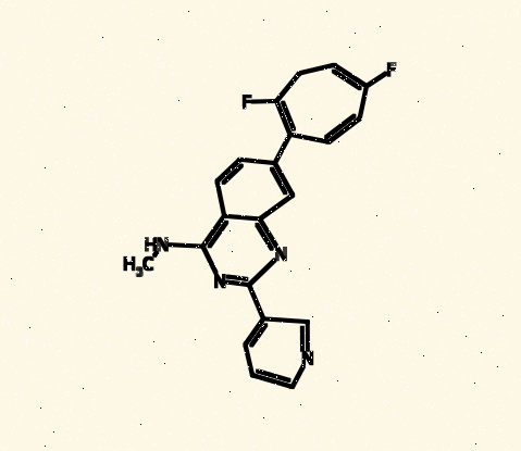 CNc1nc(-c2cccnc2)nc2cc(C3=C(F)CC=C(F)C=C3)ccc12